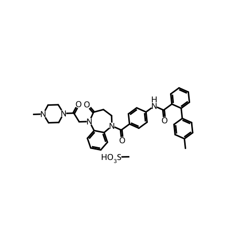 CS(=O)(=O)O.Cc1ccc(-c2ccccc2C(=O)Nc2ccc(C(=O)N3CCC(=O)N(CC(=O)N4CCN(C)CC4)c4ccccc43)cc2)cc1